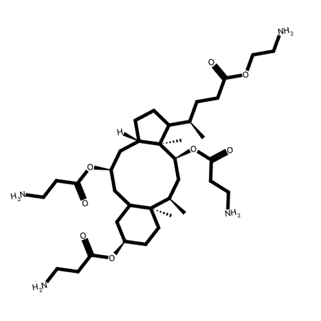 C[C@H](CCC(=O)OCCN)C1CC[C@H]2C[C@H](OC(=O)CCN)CC3C[C@H](OC(=O)CCN)CC[C@]3(C)[C@H](C)C[C@H](OC(=O)CCN)[C@]12C